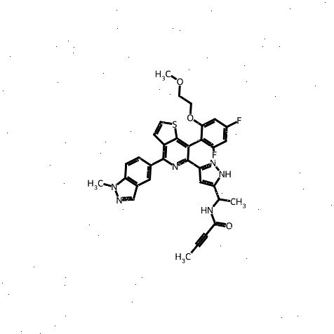 CC#CC(=O)NC(C)c1cc(-c2nc(-c3ccc4c(cnn4C)c3)c3ccsc3c2-c2c(F)cc(F)cc2OCCOC)n[nH]1